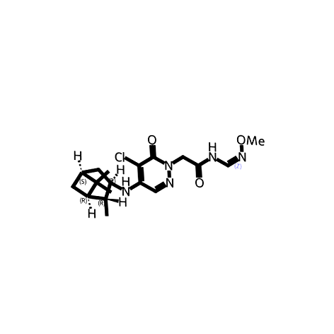 CO/N=C\NC(=O)Cn1ncc(N[C@@H]2C[C@@H]3C[C@H]([C@H]2C)C3(C)C)c(Cl)c1=O